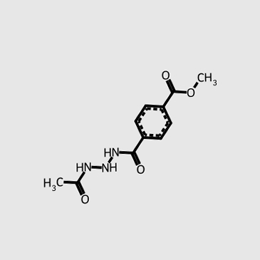 COC(=O)c1ccc(C(=O)NNNC(C)=O)cc1